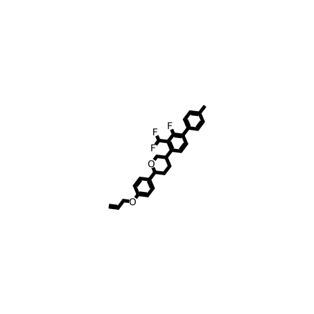 C=CCOc1ccc(C2CCC(c3ccc(-c4ccc(C)cc4)c(F)c3C(F)F)CO2)cc1